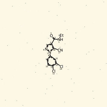 CCNC(=O)c1cnn(-c2ccc(Cl)c(Cl)c2)c1C#N